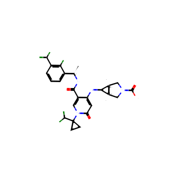 C[C@@H](NC(=O)c1cn(C2(C(F)F)CC2)c(=O)cc1NC1[C@H]2CN(C(=O)O)C[C@@H]12)c1cccc(C(F)F)c1F